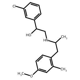 COc1ccc(CC(C)NCC(O)c2cccc(Cl)c2)c(C)c1